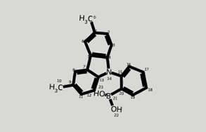 Cc1ccc2c(c1)c1cc(C)ccc1n2-c1ccccc1B(O)O